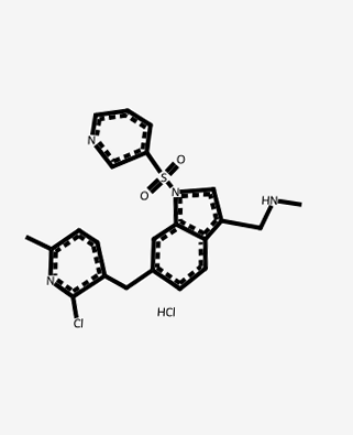 CNCc1cn(S(=O)(=O)c2cccnc2)c2cc(Cc3ccc(C)nc3Cl)ccc12.Cl